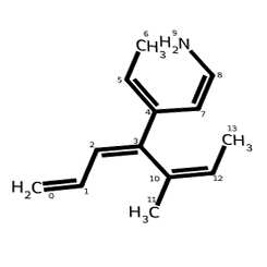 C=C/C=C(C(=CC)/C=C\N)\C(C)=C/C